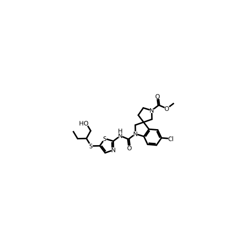 CCC(CO)Sc1cnc(NC(=O)N2CC3(CCN(C(=O)OC)C3)c3cc(Cl)ccc32)s1